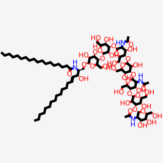 CCCCCCCCCCCCC/C=C/[C@@H](O)[C@H](CO[C@@H]1OC(CO)[C@@H](O[C@@H]2OC(CO)[C@H](O)[C@H](O[C@@H]3OC(CO)[C@@H](O[C@@H]4OC(CO)[C@H](O)[C@H](O[C@@H]5OC(CO)[C@@H](O[C@@H]6OC(CO)[C@H](O)[C@H](O[C@@H]7OC(CO)[C@@H](O)[C@H](O)C7NC(C)=O)C6O)[C@H](O)C5NC(C)=O)C4O)[C@H](O)C3NC(C)=O)C2O)[C@H](O)C1O)NC(=O)CCCCCCCCCCCCCCCCC